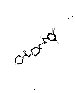 C[C@@H]1COC[C@H](C)N1C(=O)CN1CCC(F)(CNC(=O)c2cc(Cl)cc(Cl)c2)CC1